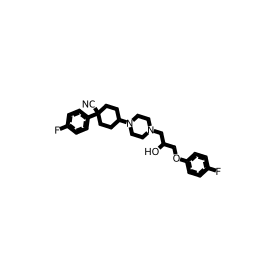 N#CC1(c2ccc(F)cc2)CCC(N2CCN(CC(O)COc3ccc(F)cc3)CC2)CC1